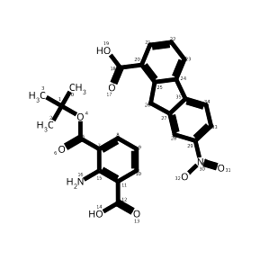 CC(C)(C)OC(=O)c1cccc(C(=O)O)c1N.O=C(O)c1cccc2c1Cc1cc([N+](=O)[O-])ccc1-2